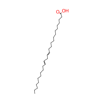 CCCCCCCCCCC=CCC=CCCCCCCCCCCCCC(=O)O